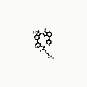 CCCCC(=O)Nc1cncc(-c2cc3c(-c4cc5c(-c6ccncc6)cccc5[nH]4)n[nH]c3cn2)c1